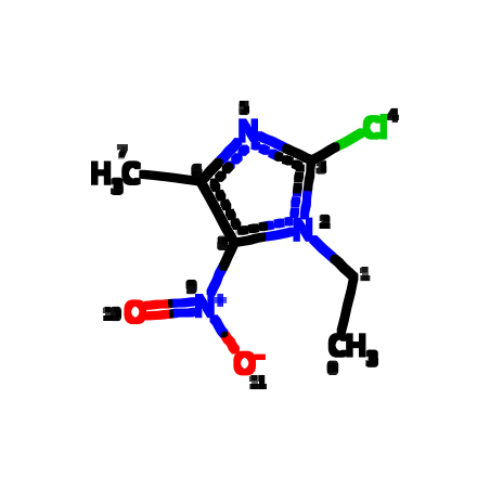 CCn1c(Cl)nc(C)c1[N+](=O)[O-]